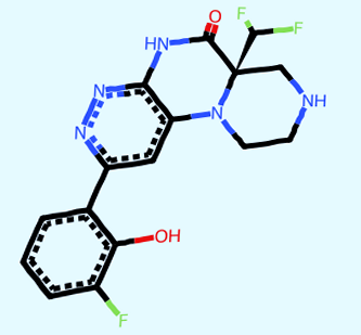 O=C1Nc2nnc(-c3cccc(F)c3O)cc2N2CCNC[C@@]12C(F)F